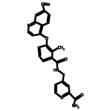 COc1ccc2c(Oc3cccc(C(=O)NCc4ccnc(C(N)=O)c4)c3C)ccnc2c1